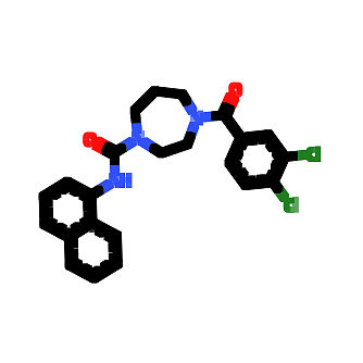 O=C(Nc1cccc2ccccc12)N1CCCN(C(=O)c2ccc(Cl)c(Cl)c2)CC1